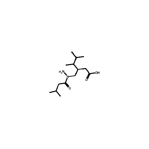 CC(C)CC(=O)N(N)CC(CC(=O)O)C(C)C(C)C